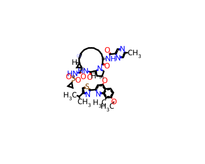 COc1ccc2c(O[C@@H]3C[C@H]4C(=O)N[C@]5(C(=O)NS(=O)(=O)C6CC6)C[C@H]5/C=C\CCCCC[C@H](NC(=O)c5cnc(C)cn5)C(=O)N4C3)cc(-c3nc(C(C)C)cs3)nc2c1C